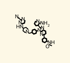 CC(=O)Nc1cccc(-c2ccc3nc(-c4cccnc4N)n(-c4ccc(CN5CCC(Nc6ccnc(C#N)n6)CC5)cc4)c3n2)c1